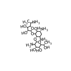 C[C@@H](O)C1O[C@H](O[C@@H]2C(N)C[C@@H](N)C(O)C2O[C@@H]2O[C@H]([C@@H](C)N)C(O)[C@@H]2O)C(N)C(O)[C@@H]1O